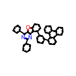 c1ccc(-c2nc(-c3ccccc3)c3oc4cccc(-c5cccc(-c6cccc7c8ccccc8c8ccccc8c67)c5)c4c3n2)cc1